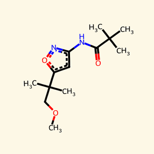 COCC(C)(C)c1cc(NC(=O)C(C)(C)C)no1